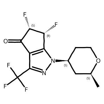 C[C@H]1C[C@@H](n2nc(C(F)(F)F)c3c2[C@@H](F)[C@@H](F)C3=O)CCO1